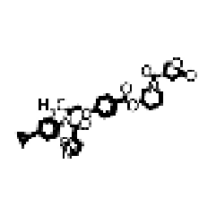 CC(COc1ccc(C(=O)O[C@H]2CCCN(C(=O)[C@H]3COC(=O)C3)C2)cc1)N(C(=O)c1ccno1)c1ccc(C2CC2)cc1